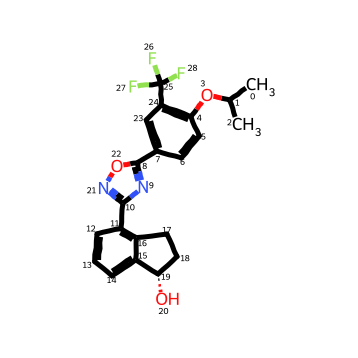 CC(C)Oc1ccc(-c2nc(-c3cccc4c3CC[C@@H]4O)no2)cc1C(F)(F)F